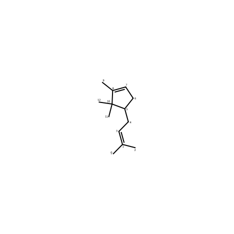 [CH2]C(C)=CCC1CC=C(C)C1(C)C